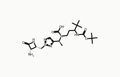 C[C@@H](c1cnn(C[C@H]2NC(=O)[C@H]2N)n1)N(CCC(NC(=O)OC(C)(C)C)C(C)(C)C)C(=O)O